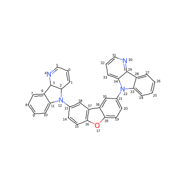 C1=CC2C(N=C1)c1ccccc1N2c1ccc2oc3ccc(-n4c5ccccc5c5ncccc54)cc3c2c1